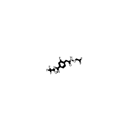 O=C(Cc1ccc(-c2noc(C(F)(F)F)n2)cc1F)NOCC(F)F